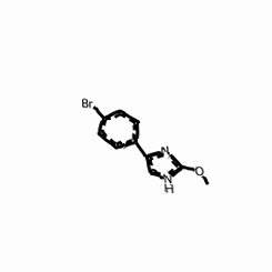 COc1nc(-c2ccc(Br)cc2)c[nH]1